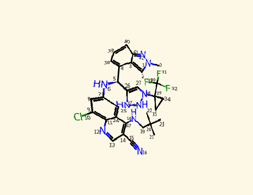 Cn1cc2c([C@H](Nc3cc(Cl)c4ncc(C#N)c(NCC(C)(C)C)c4c3)C3=CN(C4(C(F)(F)F)CC4)NN3)cccc2n1